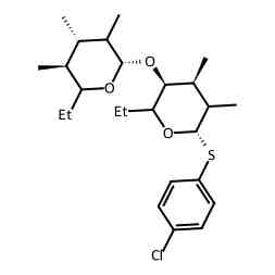 CCC1O[C@@H](O[C@@H]2C(CC)O[C@@H](Sc3ccc(Cl)cc3)C(C)[C@@H]2C)C(C)[C@@H](C)[C@@H]1C